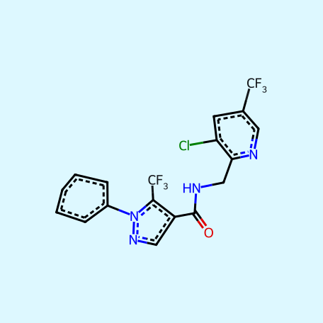 O=C(NCc1ncc(C(F)(F)F)cc1Cl)c1cnn(-c2ccccc2)c1C(F)(F)F